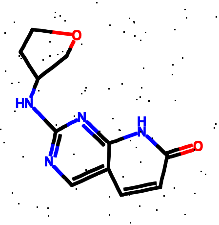 O=c1ccc2cnc(NC3CCOC3)nc2[nH]1